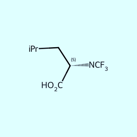 CC(C)C[C@H](NC(F)(F)F)C(=O)O